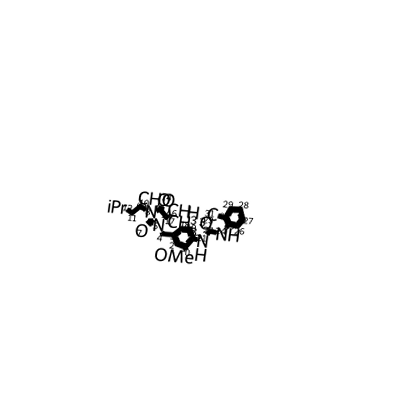 COc1cc(CN2C(=O)N([C@H](C=O)CC(C)C)C(=O)C2(C)C)ccc1NC(=O)Nc1ccccc1C